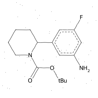 CC(C)(C)OC(=O)N1CCCCC1c1cc(N)cc(F)c1